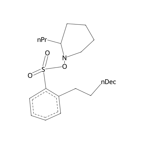 CCCCCCCCCCCCc1ccccc1S(=O)(=O)ON1CCCCC1CCC